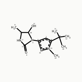 CC1NC(=O)N(c2cc(C(C)(C)C)n(C)n2)C1O